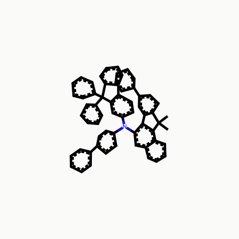 CC1(C)c2ccc(-c3ccccc3)cc2-c2c(N(c3ccc(-c4ccccc4)cc3)c3ccc4c(c3)C(c3ccccc3)(c3ccccc3)c3ccccc3-4)cc3ccccc3c21